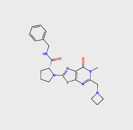 Cn1c(CN2CCC2)nc2sc(N3CCC[C@@H]3C(=O)NCc3ccccc3)nc2c1=O